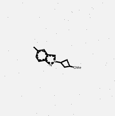 COC1CC(n2cc3cc(C)ccc3n2)C1